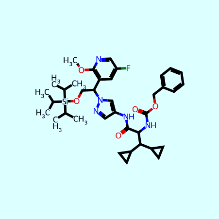 COc1ncc(F)cc1C(CO[Si](C(C)C)(C(C)C)C(C)C)n1cc(NC(=O)C(NC(=O)OCc2ccccc2)C(C2CC2)C2CC2)cn1